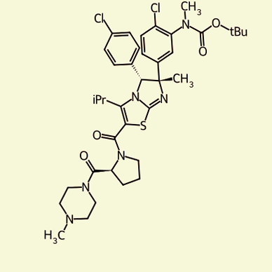 CC(C)C1=C(C(=O)N2CCC[C@H]2C(=O)N2CCN(C)CC2)SC2=N[C@@](C)(c3ccc(Cl)c(N(C)C(=O)OC(C)(C)C)c3)[C@@H](c3ccc(Cl)cc3)N21